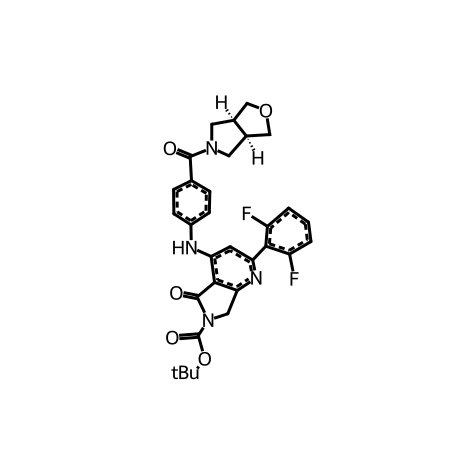 CC(C)(C)OC(=O)N1Cc2nc(-c3c(F)cccc3F)cc(Nc3ccc(C(=O)N4C[C@H]5COC[C@H]5C4)cc3)c2C1=O